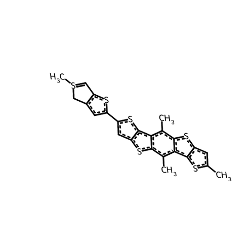 Cc1cc2sc3c(C)c4c(sc5cc(-c6cc7c(s6)C=S(C)C7)sc54)c(C)c3c2s1